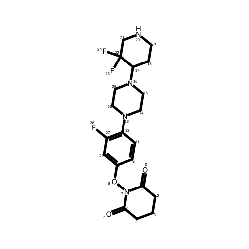 O=C1CCCC(=O)N1Oc1ccc(N2CCN(C3CCNCC3(F)F)CC2)c(F)c1